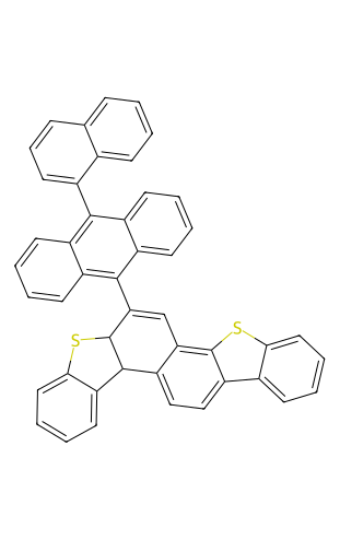 C1=C(c2c3ccccc3c(-c3cccc4ccccc34)c3ccccc23)C2Sc3ccccc3C2c2ccc3c(sc4ccccc43)c21